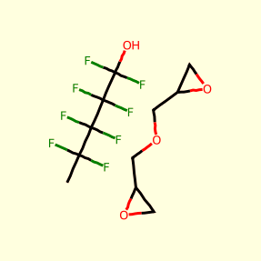 C(OCC1CO1)C1CO1.CC(F)(F)C(F)(F)C(F)(F)C(O)(F)F